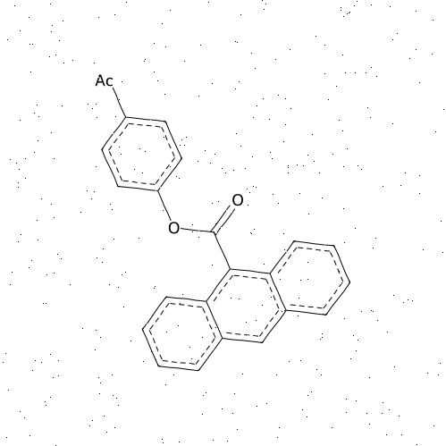 [CH2]C(=O)c1ccc(OC(=O)c2c3ccccc3cc3ccccc23)cc1